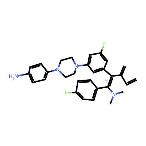 C=CC(=C)/C(=C(/c1ccc(F)cc1)N(C)C)c1cc(F)cc(N2CCN(c3ccc(N)cc3)CC2)c1